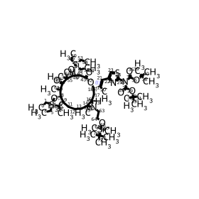 CC[Si](CC)(CC)O[C@H]1[C@@H](C)CCC[C@]2(C)[C@H](C[C@@H](/C(C)=C/c3csc(N(C(=O)OC(C)(C)C)C(=O)OC(C)(C)C)n3)OC(=O)C[C@H](O[Si](CC)(CC)CC)C(C)(C)C(=O)[C@@H]1C)N2CCO[Si](C)(C)C(C)(C)C